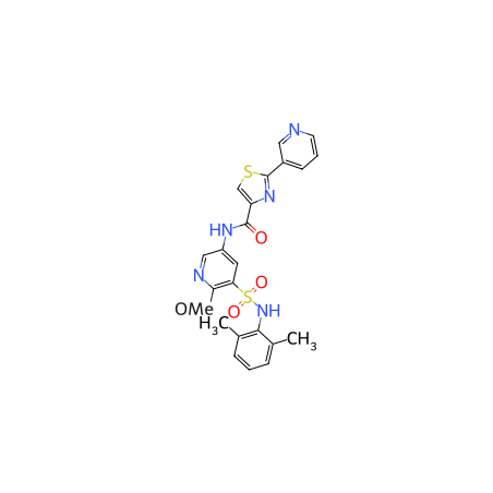 COc1ncc(NC(=O)c2csc(-c3cccnc3)n2)cc1S(=O)(=O)Nc1c(C)cccc1C